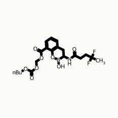 CCCCOC(=O)OCOC(=O)c1cccc2c1OB(O)C(NC(=O)CCC(C)(F)F)C2